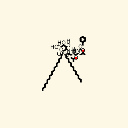 CCCCCCCCCCCCCCCCCC(=O)N(CCCCCCCCCCCCCC)[C@@H]1O[C@H](CO)[C@@H](O)[C@H](O)[C@H]1NC(=O)[C@H](CC(C)C)NC(=O)[C@H](CC(C)C)NC(=O)OCc1ccccc1